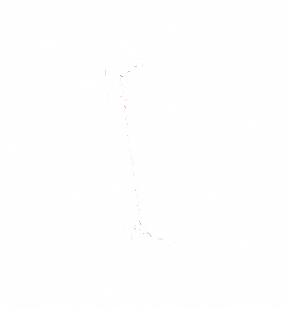 CCCCCCCCCCCCC/C=C/C(O)C(CO)NC(=O)CCCCCCCCCCCCCCCCCCCCCCCCCCCCCOC(=O)C(O)CCCCC(C)CCCCCCCCCCCCCC